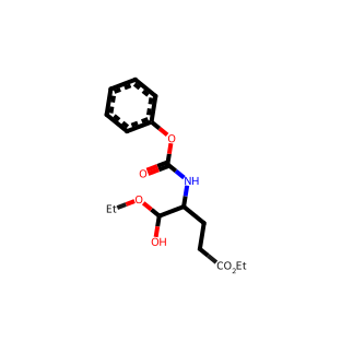 CCOC(=O)CCC(NC(=O)Oc1ccccc1)C(O)OCC